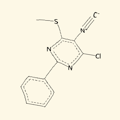 [C-]#[N+]c1c(Cl)nc(-c2ccccc2)nc1SC